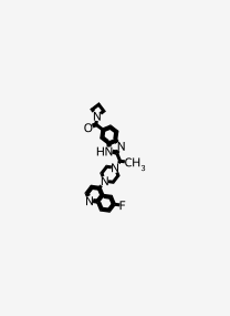 CC(c1nc2ccc(C(=O)N3CCC3)cc2[nH]1)N1CCN(c2ccnc3ccc(F)cc23)CC1